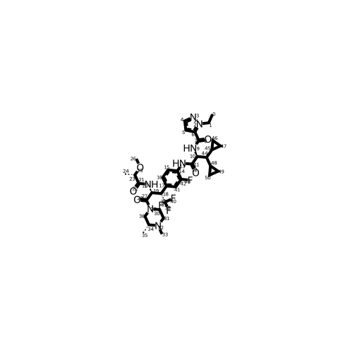 CCn1nccc1C(=O)N[C@H](C(=O)Nc1ccc([C@@H]([C@@H](NC(=O)[C@H](C)OC)C(=O)N2CCN(C)[C@H](C)C2)C(F)(F)F)cc1F)C(C1CC1)C1CC1